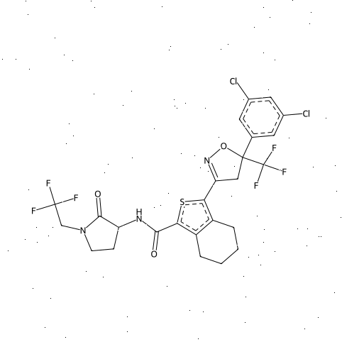 O=C(NC1CCN(CC(F)(F)F)C1=O)c1sc(C2=NOC(c3cc(Cl)cc(Cl)c3)(C(F)(F)F)C2)c2c1CCCC2